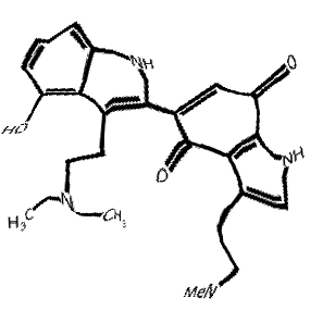 CNCCc1c[nH]c2c1C(=O)C(c1[nH]c3cccc(O)c3c1CCN(C)C)=CC2=O